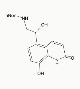 CC[CH]CCCCCCNC[C@H](O)c1ccc(O)c2[nH]c(=O)ccc12